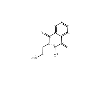 CCCCCCCCCCCCOC(=O)c1ccccc1C(=O)OCCC